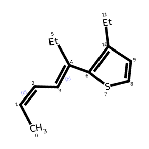 C/C=C\C=C(/CC)c1sccc1CC